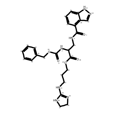 O=C(NC(CNC(=O)c1cccc2[nH]ncc12)C(=O)OCCCNC1=NCCN1)OCc1ccccc1